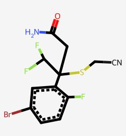 N#CCSC(CC(N)=O)(c1cc(Br)ccc1F)C(F)F